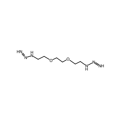 N=NNCCOCCOCCNN=N